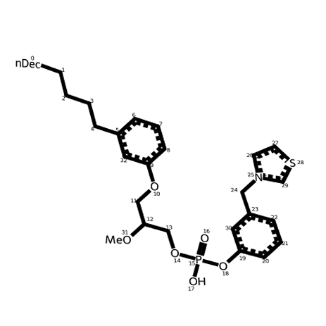 CCCCCCCCCCCCCCc1cccc(OCC(COP(=O)(O)Oc2cccc(C[n+]3ccsc3)c2)OC)c1